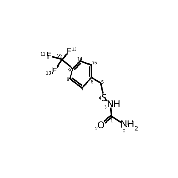 NC(=O)NSCc1ccc(C(F)(F)F)cc1